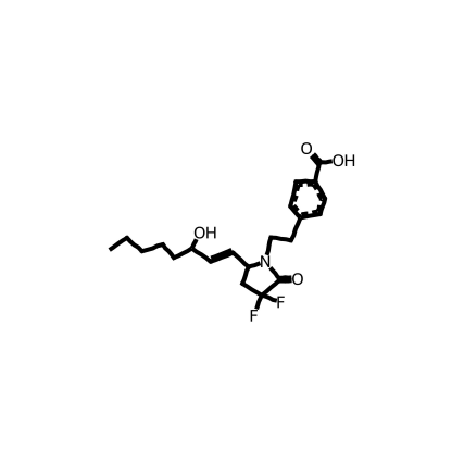 CCCCCC(O)C=CC1CC(F)(F)C(=O)N1CCc1ccc(C(=O)O)cc1